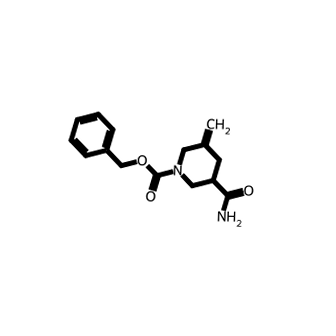 C=C1CC(C(N)=O)CN(C(=O)OCc2ccccc2)C1